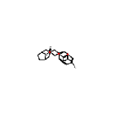 O=C(COc1ccc(Cl)cc1)N1C2CCC1CC(Cc1ccc(F)cc1)C2